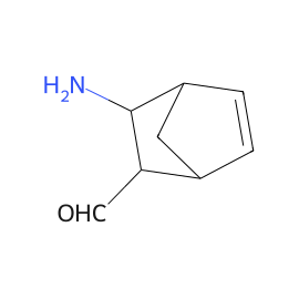 NC1C2C=CC(C2)C1C=O